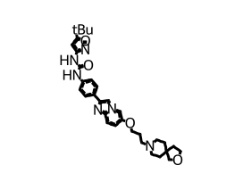 CC(C)(C)c1cc(NC(=O)Nc2ccc(-c3cn4cc(OCCCN5CCC6(CCOC6)CC5)ccc4n3)cc2)no1